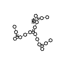 c1ccc(-c2ccc(N(c3ccccc3)c3ccc(-c4ccc(-n5c6ccc(-c7ccc(-c8ccc9c%10ccccc%10n(-c%10ccc(-c%11ccccc%11)cc%10)c9c8)cc7)cc6c6cc(-c7ccc(-c8ccc9c%10ccccc%10n(-c%10ccc(-c%11ccccc%11)cc%10)c9c8)cc7)ccc65)cc4)c4nsnc34)cc2)cc1